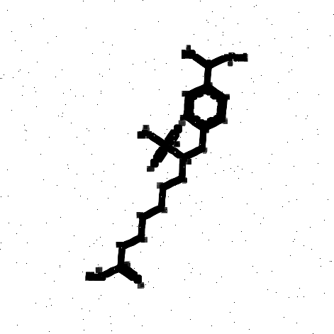 CCCCCC(O)c1ccc(CN(CCCCCCC(=O)OC)S(=O)(=O)CCC)cc1